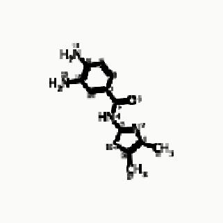 Cc1nc(NC(=O)c2ccc(N)c(N)c2)sc1C